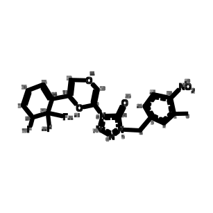 Cc1cc(Cn2nnn(C3=COC=C(C4=CC=CC(F)C4(F)F)O3)c2=O)ccc1[N+](=O)[O-]